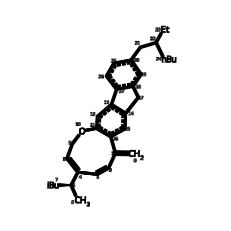 C=C1/C=C\C([C@@H](C)C(C)CC)=C/COc2cc3c(cc21)Cc1cc(CC(CC)CCCC)ccc1-3